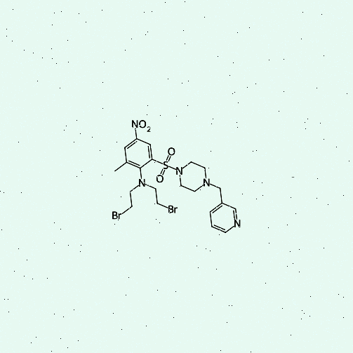 Cc1cc([N+](=O)[O-])cc(S(=O)(=O)N2CCN(Cc3cccnc3)CC2)c1N(CCBr)CCBr